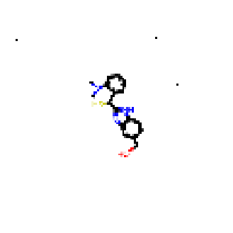 CN(C)c1ccccc1C(S)c1nc2cc(CO)ccc2[nH]1